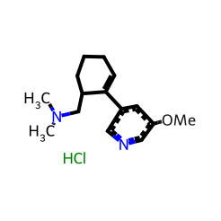 COc1cncc(C2=CCCCC2CN(C)C)c1.Cl